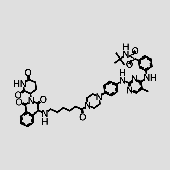 Cc1cnc(Nc2ccc(N3CCN(C(=O)CCCCCNC4C(=O)N(C5CCC(=O)NC5=O)C(=O)c5ccccc54)CC3)cc2)nc1Nc1cccc(S(=O)(=O)NC(C)(C)C)c1